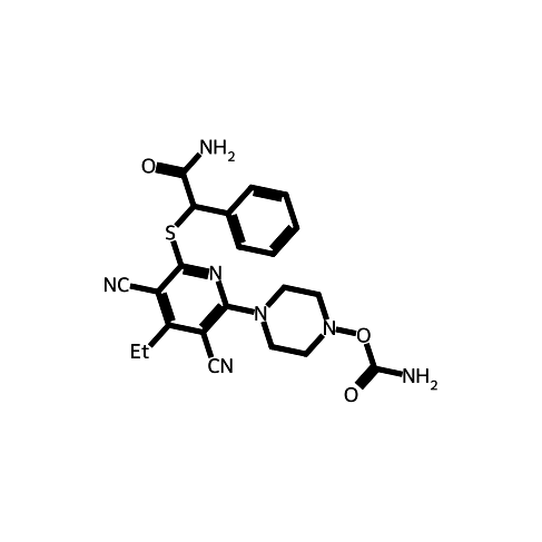 CCc1c(C#N)c(SC(C(N)=O)c2ccccc2)nc(N2CCN(OC(N)=O)CC2)c1C#N